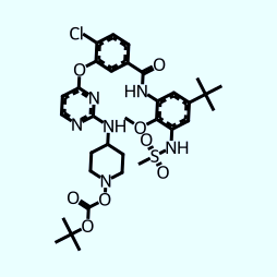 COc1c(NC(=O)c2ccc(Cl)c(Oc3ccnc(NC4CCN(OC(=O)OC(C)(C)C)CC4)n3)c2)cc(C(C)(C)C)cc1NS(C)(=O)=O